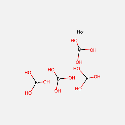 OB(O)O.OB(O)O.OB(O)O.OB(O)O.[Ho]